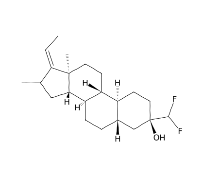 CC=C1C(C)C[C@H]2[C@@H]3CC[C@H]4C[C@@](O)(C(F)F)CC[C@@H]4[C@H]3CC[C@]12C